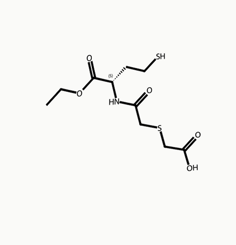 CCOC(=O)[C@H](CCS)NC(=O)CSCC(=O)O